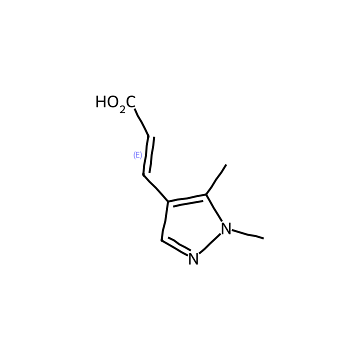 Cc1c(/C=C/C(=O)O)cnn1C